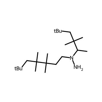 CC(N(N)CCC(C)(C)C(C)(C)CC(C)(C)C)C(C)(C)CC(C)(C)C